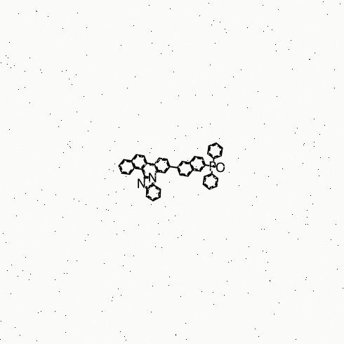 O=P(c1ccccc1)(c1ccccc1)c1ccc2cc(-c3ccc4c5ccc6ccccc6c5c5nc6ccccc6n5c4c3)ccc2c1